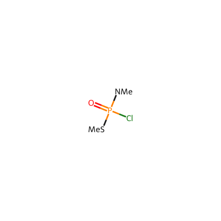 CNP(=O)(Cl)SC